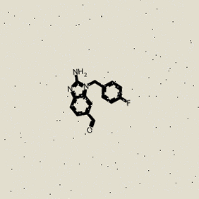 Nc1nc2ccc(C=O)cc2n1Cc1ccc(F)cc1